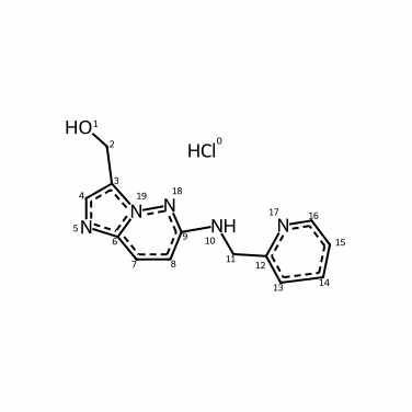 Cl.OCc1cnc2ccc(NCc3ccccn3)nn12